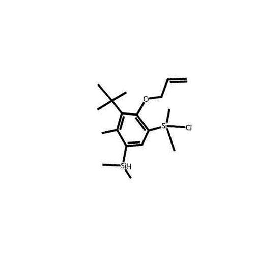 C=CCOc1c([Si](C)(C)Cl)cc([SiH](C)C)c(C)c1C(C)(C)C